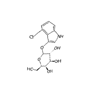 OC[C@H]1OC(Oc2c[nH]c3cccc(Cl)c23)[C@H](O)[C@@H](O)[C@H]1O